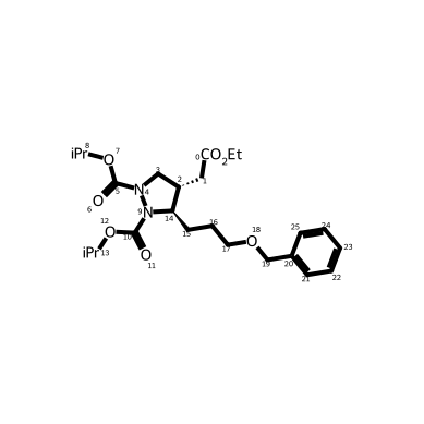 CCOC(=O)C[C@H]1CN(C(=O)OC(C)C)N(C(=O)OC(C)C)[C@@H]1CCCOCc1ccccc1